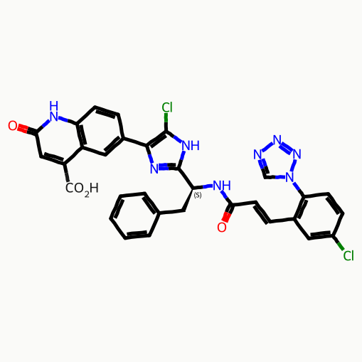 O=C(C=Cc1cc(Cl)ccc1-n1cnnn1)N[C@@H](Cc1ccccc1)c1nc(-c2ccc3[nH]c(=O)cc(C(=O)O)c3c2)c(Cl)[nH]1